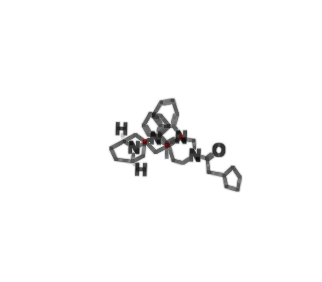 Cc1nc2ccccc2n1[C@H]1C[C@H]2CC[C@@H](C1)N2CCC1(c2ccccc2)CCN(C(=O)CC2CCCC2)CC1